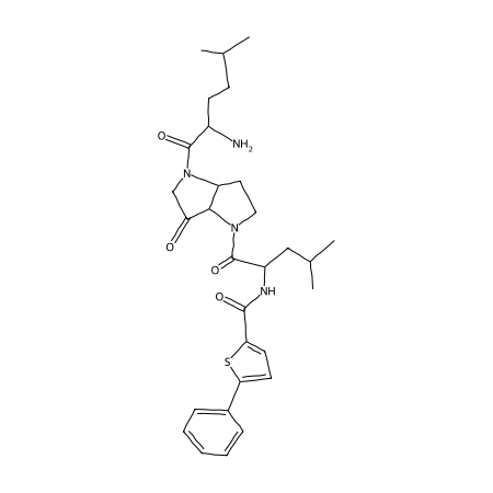 CC(C)CCC(N)C(=O)N1CC(=O)C2C1CCN2C(=O)C(CC(C)C)NC(=O)c1ccc(-c2ccccc2)s1